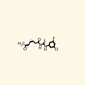 C/C(Cl)=C\C=C/CC(=O)NC(=S)Nc1cc(F)cc(Cl)c1